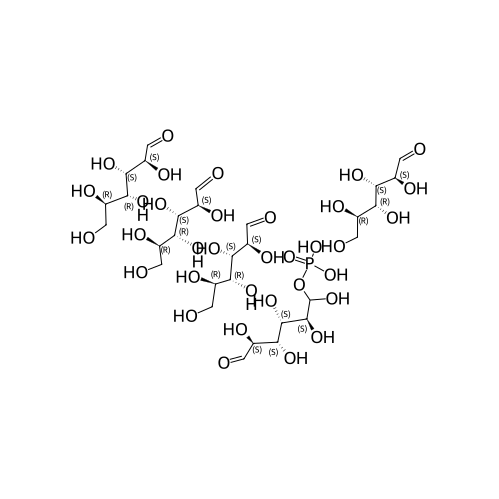 O=C[C@@H](O)[C@@H](O)[C@H](O)[C@H](O)C(O)OP(=O)(O)O.O=C[C@@H](O)[C@@H](O)[C@H](O)[C@H](O)CO.O=C[C@@H](O)[C@@H](O)[C@H](O)[C@H](O)CO.O=C[C@@H](O)[C@@H](O)[C@H](O)[C@H](O)CO.O=C[C@@H](O)[C@@H](O)[C@H](O)[C@H](O)CO